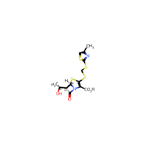 Cc1csc(SCSC2=C(C(=O)O)N3C(=O)[C@H]([C@@H](C)O)[C@H]3S2)n1